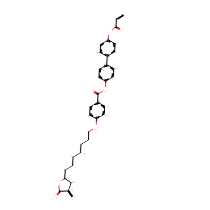 C=CC(=O)Oc1ccc(-c2ccc(OC(=O)c3ccc(OCCCCCCCC4CC(=C)C(=O)O4)cc3)cc2)cc1